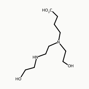 O=C(O)CCCN(CCO)CCNCCO